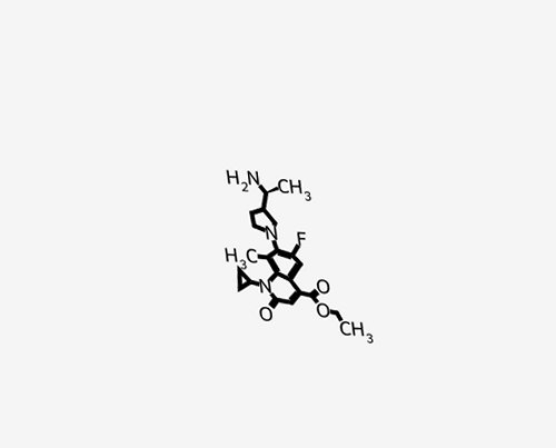 CCOC(=O)c1cc(=O)n(C2CC2)c2c(C)c(N3CCC([C@H](C)N)C3)c(F)cc12